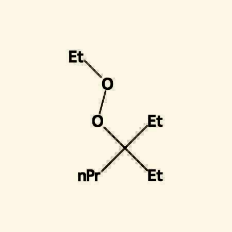 CCCC(CC)(CC)OOCC